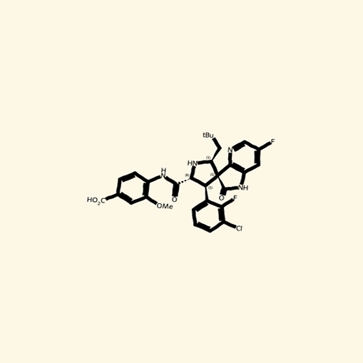 COc1cc(C(=O)O)ccc1NC(=O)[C@@H]1N[C@@H](CC(C)(C)C)[C@@]2(C(=O)Nc3cc(F)cnc32)[C@H]1c1cccc(Cl)c1F